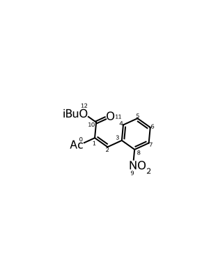 CC(=O)C(=Cc1ccccc1[N+](=O)[O-])C(=O)OCC(C)C